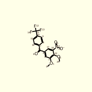 COc1cc(C(=O)c2ccc(C(F)(F)F)cc2)cc([N+](=O)[O-])c1OC